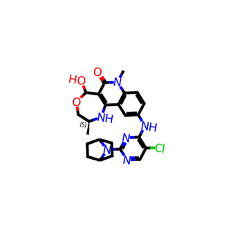 C[C@H]1COC(O)c2c(c3cc(Nc4nc(N5C6CCC5CC6)ncc4Cl)ccc3n(C)c2=O)N1